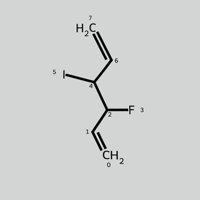 C=CC(F)C(I)C=C